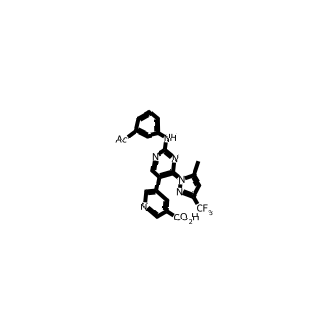 CC(=O)c1cccc(Nc2ncc(-c3cncc(C(=O)O)c3)c(-n3nc(C(F)(F)F)cc3C)n2)c1